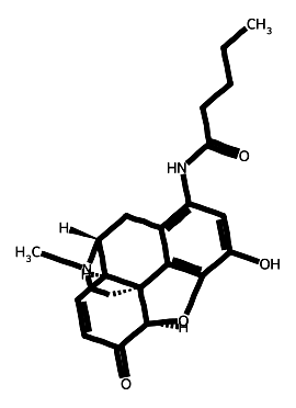 CCCCC(=O)Nc1cc(O)c2c3c1C[C@@H]1[C@@H]4C=CC(=O)[C@H](O2)[C@]34CCN1C